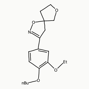 CCCCOc1ccc(C2=NOC3(CCOC3)C2)cc1OCC